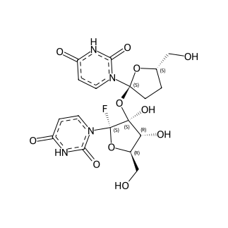 O=c1ccn([C@@]2(O[C@@]3(O)[C@H](O)[C@@H](CO)O[C@@]3(F)n3ccc(=O)[nH]c3=O)CC[C@@H](CO)O2)c(=O)[nH]1